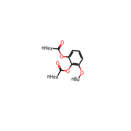 CCCCCCC(=O)Oc1cccc(OCCCC)c1OC(=O)CCCCCC